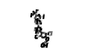 CC(CO)Oc1cc(Cl)c(-c2nnc(-c3cn4cc(C(C)(F)F)cc(I)c4n3)s2)cc1Cl